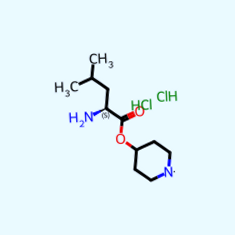 CC(C)C[C@H](N)C(=O)OC1CC[N]CC1.Cl.Cl